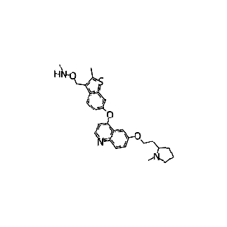 CNOCc1c(C)sc2cc(Oc3ccnc4ccc(OCCC5CCCN5C)cc34)ccc12